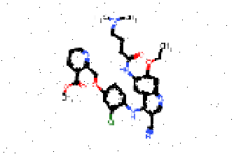 CCOc1cc2ncc(C#N)c(Nc3ccc(OCc4ncccc4C(=O)OC)cc3Cl)c2cc1NC(=O)CCCN(C)C